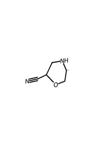 N#CC1CN[CH]CO1